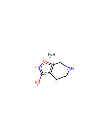 Oc1noc2c1CCNC2.[NaH]